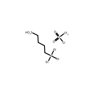 CC[N+](CC)(CC)CCCCS(=O)(=O)O.O=S(=O)([O-])C(F)(F)F